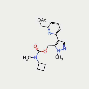 CC(=O)OCc1cccc(-c2cnn(C)c2COC(=O)N(C)C2CCC2)n1